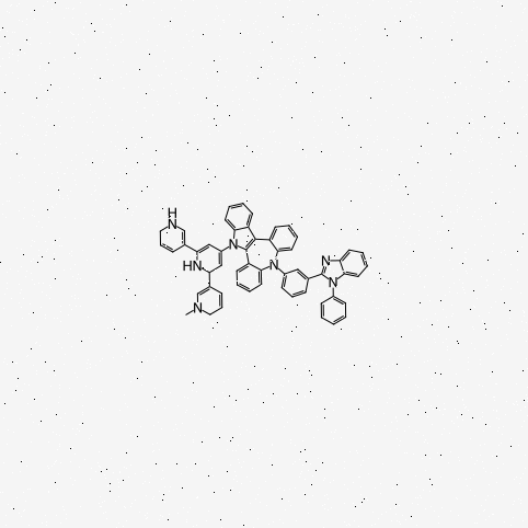 CN1C=C(C2C=C(n3c4c(c5ccccc53)-c3ccccc3N(c3cccc(-c5nc6ccccc6n5-c5ccccc5)c3)c3ccccc3-4)C=C(C3=CNCC=C3)N2)C=CC1